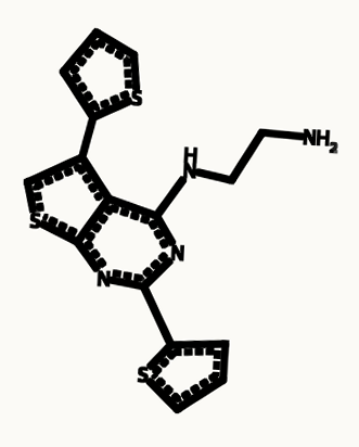 NCCNc1nc(-c2cccs2)nc2scc(-c3cccs3)c12